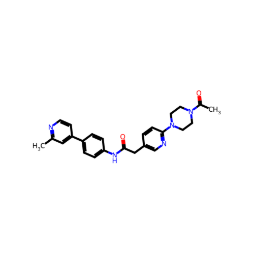 CC(=O)N1CCN(c2ccc(CC(=O)Nc3ccc(-c4ccnc(C)c4)cc3)cn2)CC1